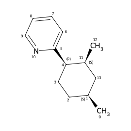 C[C@H]1CC[C@@H](c2ccccn2)[C@@H](C)C1